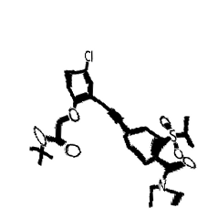 CCN(CC)C(=O)c1ccc(C#Cc2cc(Cl)ccc2OCC(=O)OC(C)(C)C)cc1S(=O)(=O)C(C)C